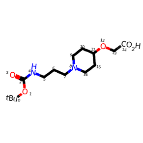 CC(C)(C)OC(=O)NCCCN1CCC(OCC(=O)O)CC1